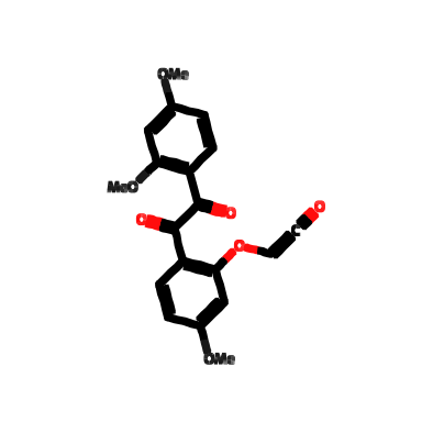 COc1ccc(C(=O)C(=O)c2ccc(OC)cc2OC=C=O)c(OC)c1